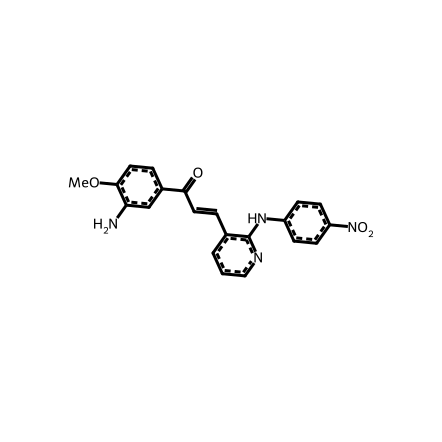 COc1ccc(C(=O)C=Cc2cccnc2Nc2ccc([N+](=O)[O-])cc2)cc1N